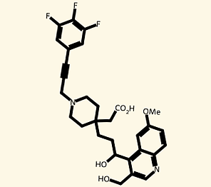 COc1ccc2ncc(CO)c(C(O)CCC3(CC(=O)O)CCN(CC#Cc4cc(F)c(F)c(F)c4)CC3)c2c1